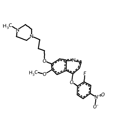 COc1cc2c(Oc3ccc([N+](=O)[O-])cc3F)ccnc2cc1OCCCN1CCN(C)CC1